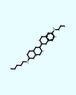 CCCCCOC1CCC2CC(C3CCc4cc(OCCC)ccc4C3)CCC2C1